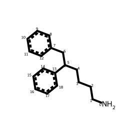 NCCCC[C](Cc1ccccc1)c1ccccc1